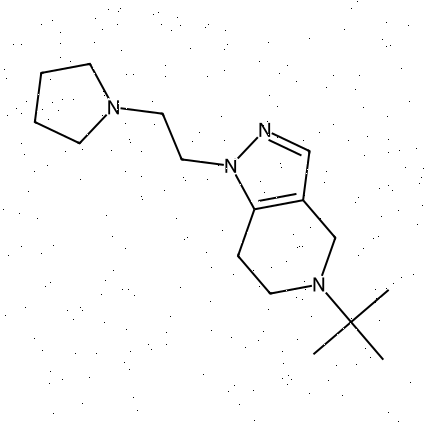 CC(C)(C)N1CCc2c(cnn2CCN2CCCC2)C1